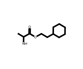 CC([NH])C(=O)OCCC1CCCCC1